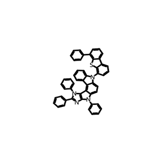 c1ccc(-c2cccc3c2sc2c(-n4c5ccccc5c5c6c7c(nc(-c8ccccc8)n7-c7ccccc7)n(-c7ccccc7)c6ccc54)cccc23)cc1